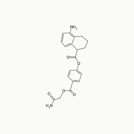 NC(=O)COC(=O)c1ccc(OC(=O)C2CCCc3c(N)cccc32)cc1